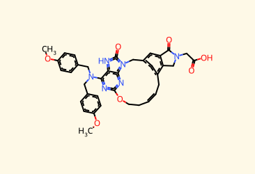 COc1ccc(CN(Cc2ccc(OC)cc2)c2nc3nc4c2[nH]c(=O)n4Cc2cc(c4c(c2)C(=O)N(CC(=O)O)C4)CC=CCCO3)cc1